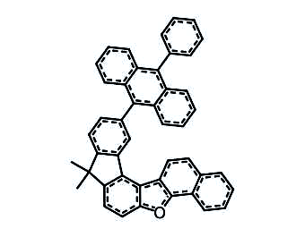 CC1(C)c2ccc(-c3c4ccccc4c(-c4ccccc4)c4ccccc34)cc2-c2c1ccc1oc3c4ccccc4ccc3c21